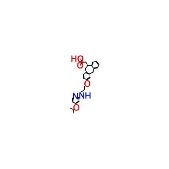 CC(C)Oc1ccnc(NCCCOc2ccc3c(c2)Cc2ccccc2C(CC(=O)O)C3)c1